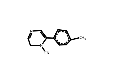 Cc1ccc(C2=CN=CCN2C#N)cc1